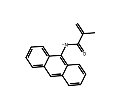 C=C(C)C(=O)Nc1c2ccccc2cc2ccccc12